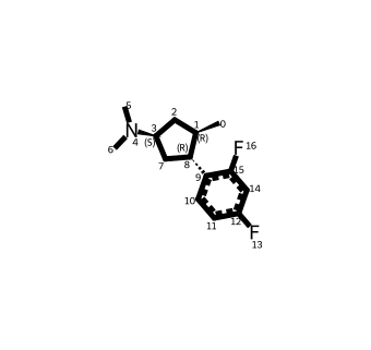 C[C@@H]1C[C@H](N(C)C)C[C@H]1c1ccc(F)cc1F